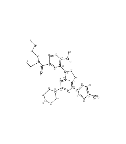 CCN(CCOC)C(=O)c1ccc(OC)c(N2CCc3c(-c4cnc(N)nc4)nc(N4CCOCC4)nc32)c1